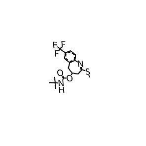 CSC1=Nc2ccc(C(F)(F)F)cc2CC(OC(=O)NC(C)(C)C)C1